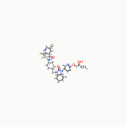 C[C@@H](O)COc1ccc(-n2c(=O)n(CC3CCC(NC(=O)c4cc(Cl)cnc4C(F)(F)F)CC3)c3ccccc32)cn1